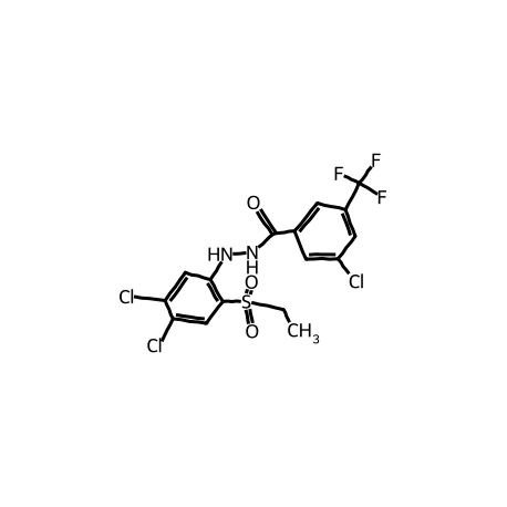 CCS(=O)(=O)c1cc(Cl)c(Cl)cc1NNC(=O)c1cc(Cl)cc(C(F)(F)F)c1